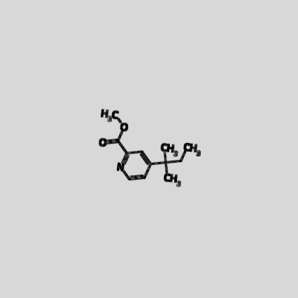 CCC(C)(C)c1ccnc(C(=O)OC)c1